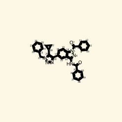 O=C(Nc1nn(C(=O)c2ccccc2)c2ccc(-c3nnn(Cc4ccccc4)c3C3CC3)cc12)c1ccccc1